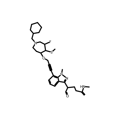 C=C(CCC(C=O)c1nn(C)c2c(C#CCOC3CCN(CC4CCCCC4)CC(F)C3SC)cccc12)NC